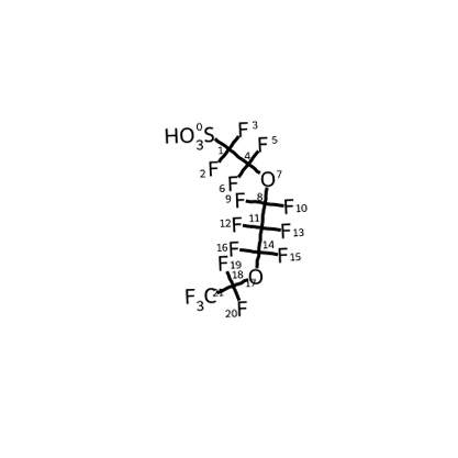 O=S(=O)(O)C(F)(F)C(F)(F)OC(F)(F)C(F)(F)C(F)(F)OC(F)(F)C(F)(F)F